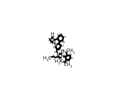 CCCc1cn(-c2c(CC)cccc2C(C)C)c(=O)n1Cc1ccc(-c2ccccc2-c2nnn[nH]2)nc1